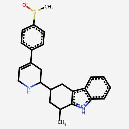 CC1CC(C2CC(c3ccc([S+](C)[O-])cc3)=CCN2)Cc2c1[nH]c1ccccc21